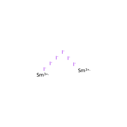 [I-].[I-].[I-].[I-].[I-].[I-].[Sm+3].[Sm+3]